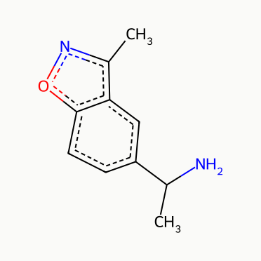 Cc1noc2ccc(C(C)N)cc12